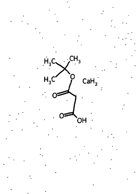 CC(C)(C)OC(=O)CC(=O)O.[CaH2]